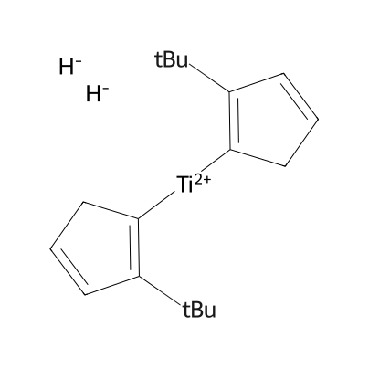 CC(C)(C)C1=[C]([Ti+2][C]2=C(C(C)(C)C)C=CC2)CC=C1.[H-].[H-]